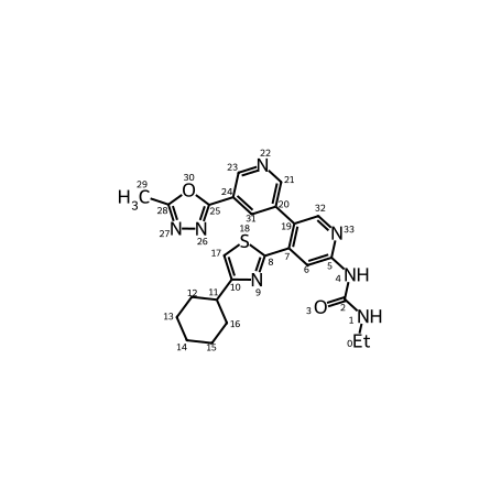 CCNC(=O)Nc1cc(-c2nc(C3CCCCC3)cs2)c(-c2cncc(-c3nnc(C)o3)c2)cn1